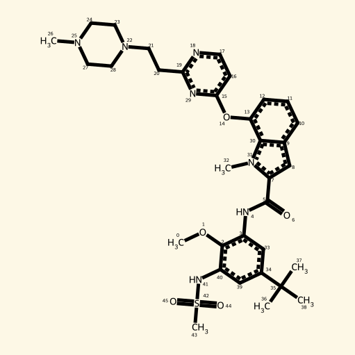 COc1c(NC(=O)c2cc3cccc(Oc4ccnc(CCN5CCN(C)CC5)n4)c3n2C)cc(C(C)(C)C)cc1NS(C)(=O)=O